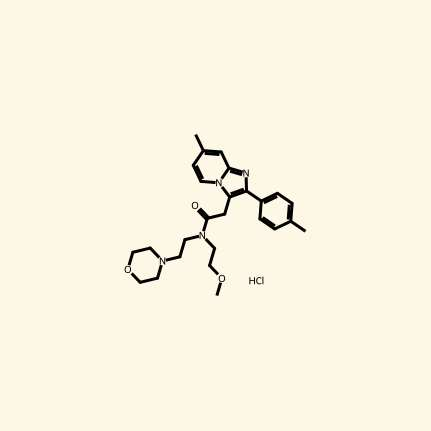 COCCN(CCN1CCOCC1)C(=O)Cc1c(-c2ccc(C)cc2)nc2cc(C)ccn12.Cl